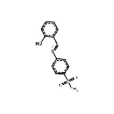 CS(=O)(=O)c1ccc(/N=C/c2ccccc2O)cc1